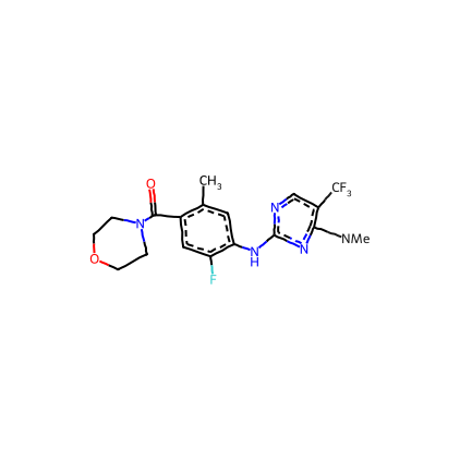 CNc1nc(Nc2cc(C)c(C(=O)N3CCOCC3)cc2F)ncc1C(F)(F)F